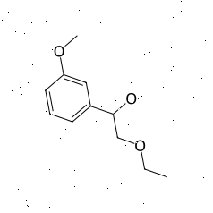 CCOCC([O])c1cccc(OC)c1